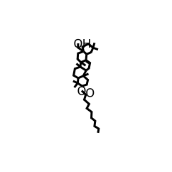 CCCCCCCCCC(=O)OC1CCC2(C)C(CCC3(C)C2CC=C2C4CC(C)(C)CCC4(CO)CCC23C)C1(C)C